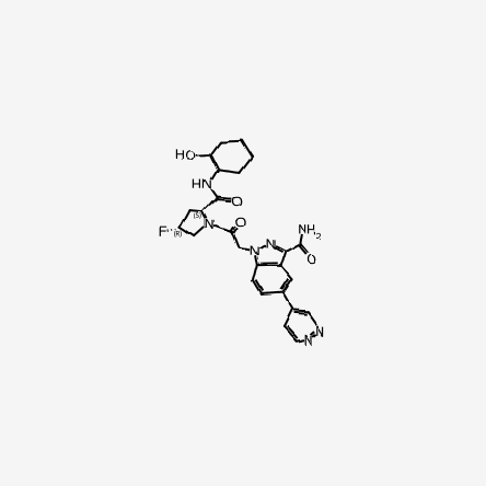 NC(=O)c1nn(CC(=O)N2C[C@H](F)C[C@H]2C(=O)NC2CCCCC2O)c2ccc(-c3ccnnc3)cc12